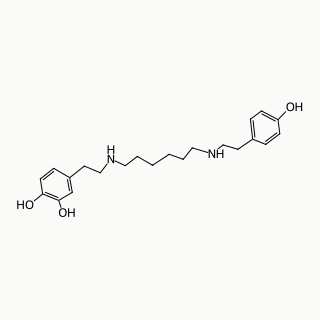 Oc1ccc(CCNCCCCCCNCCc2ccc(O)c(O)c2)cc1